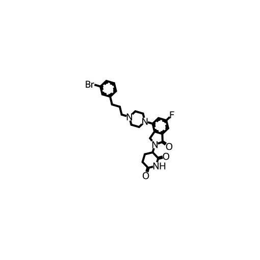 O=C1CCC(N2Cc3c(cc(F)cc3N3CCN(CCCc4cccc(Br)c4)CC3)C2=O)C(=O)N1